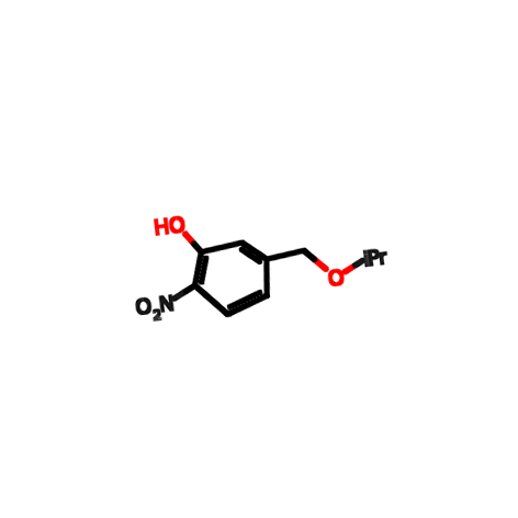 CC(C)OCc1ccc([N+](=O)[O-])c(O)c1